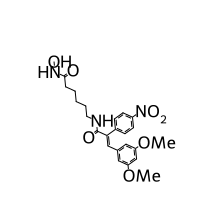 COc1cc(C=C(C(=O)NCCCCCC(=O)NO)c2ccc([N+](=O)[O-])cc2)cc(OC)c1